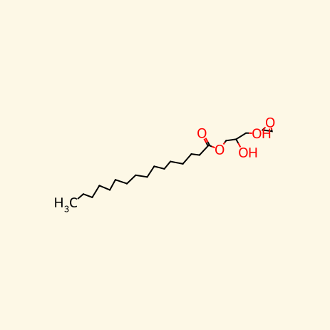 C1CO1.CCCCCCCCCCCCCCCC(=O)OCC(O)CO